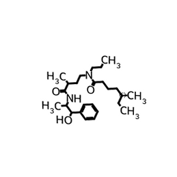 CCCN(CCC(C)C(=O)NC(C)C(O)c1ccccc1)C(=O)CCC[C@@H](C)CC